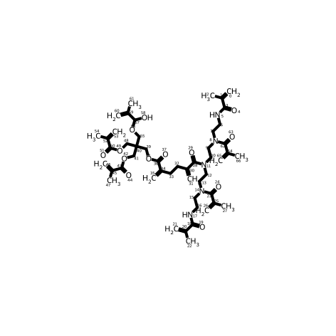 C=C(C)C(=O)NCCN(CCN(CCN(CCNC(=O)C(=C)C)C(=O)C(=C)C)C(=O)C(=C)CCC(=C)C(=O)OCC(COC(=O)C(=C)C)(COC(=O)C(=C)C)COC(O)C(=C)C)C(=O)C(=C)C